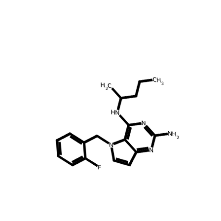 CCCC(C)Nc1nc(N)nc2ccn(Cc3ccccc3F)c12